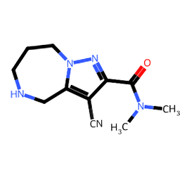 CN(C)C(=O)c1nn2c(c1C#N)CNCCC2